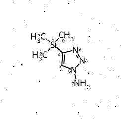 C[Si](C)(C)c1cn(N)nn1